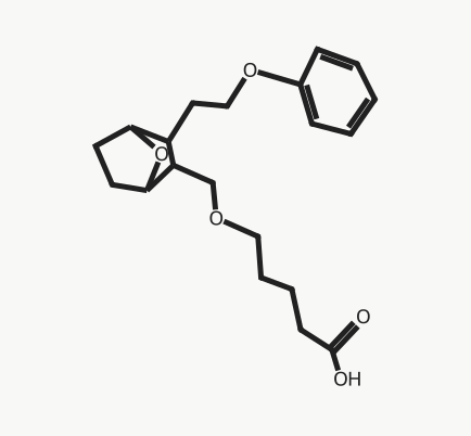 O=C(O)CCCCOCC1C2CCC(O2)C1CCOc1ccccc1